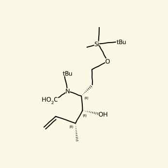 C=C[C@@H](C)[C@@H](O)[C@@H](CCO[Si](C)(C)C(C)(C)C)N(C(=O)O)C(C)(C)C